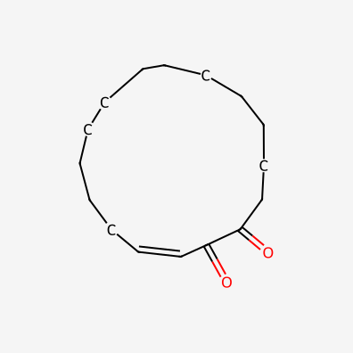 O=C1C=CCCCCCCCCCCCCC1=O